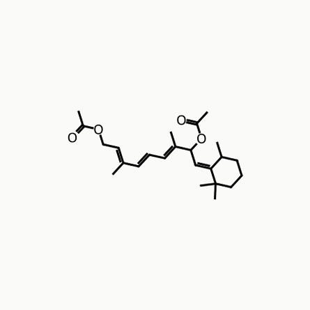 CC(=O)OCC=C(C)C=CC=C(C)C(C=C1C(C)CCCC1(C)C)OC(C)=O